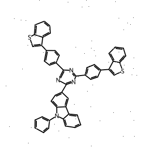 c1ccc(-n2c3ccccc3c3cc(-c4nc(-c5ccc(-c6csc7ccccc67)cc5)nc(-c5ccc(-c6csc7ccccc67)cc5)n4)ccc32)cc1